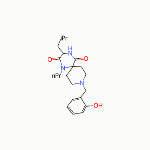 CCCN1C(=O)C(CC(C)C)NC(=O)C12CCN(Cc1ccccc1O)CC2